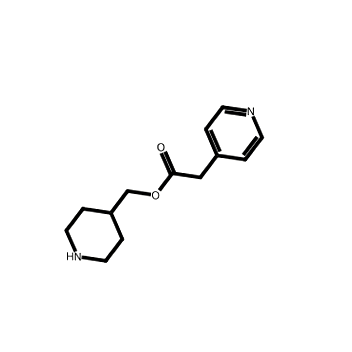 O=C(Cc1ccncc1)OCC1CCNCC1